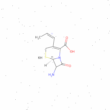 C/C=C\C1=C(C(=O)O)N2C(=O)C(N)[C@H]2SC1.[KH]